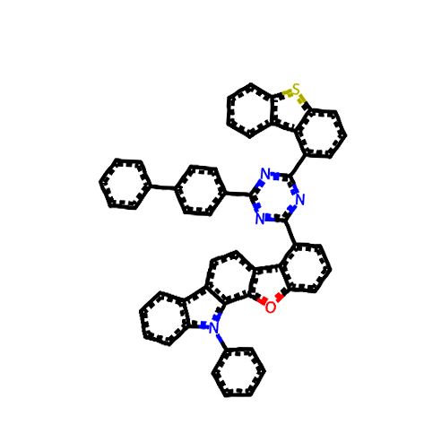 c1ccc(-c2ccc(-c3nc(-c4cccc5oc6c(ccc7c8ccccc8n(-c8ccccc8)c76)c45)nc(-c4cccc5sc6ccccc6c45)n3)cc2)cc1